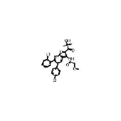 COCC(=O)Nc1c(C(=O)C(C)(C)O)oc2nc(-c3ccccc3Cl)c(-c3ccc(Cl)cc3)cc12